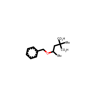 CC(C)(C)C(CC(C(=O)O)(C(=O)O)C(C)(C)C)OCc1ccccc1